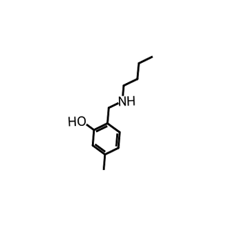 CCCCNCc1ccc(C)cc1O